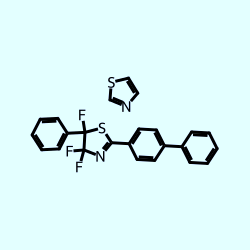 FC1(F)N=C(c2ccc(-c3ccccc3)cc2)SC1(F)c1ccccc1.c1cscn1